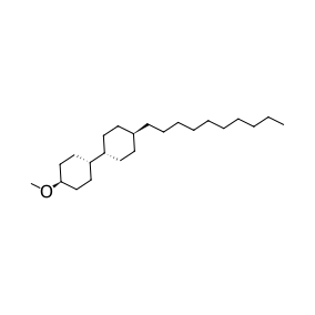 CCCCCCCCCC[C@H]1CC[C@H]([C@H]2CC[C@H](OC)CC2)CC1